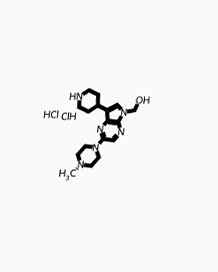 CN1CCN(c2cnc3c(n2)c(C2CCNCC2)cn3CO)CC1.Cl.Cl